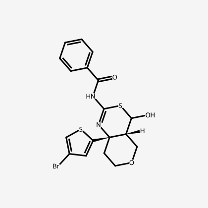 O=C(NC1=N[C@@]2(c3cc(Br)cs3)CCOC[C@H]2C(O)S1)c1ccccc1